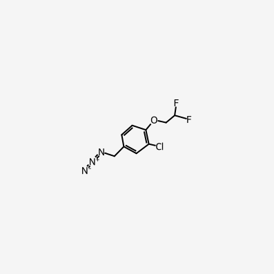 [N-]=[N+]=NCc1ccc(OCC(F)F)c(Cl)c1